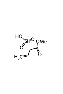 C=CCC(=O)OC.O=[SH](=O)O